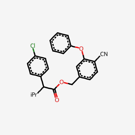 CC(C)C(C(=O)OCc1ccc(C#N)c(Oc2ccccc2)c1)c1ccc(Cl)cc1